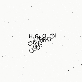 CCN(CCN(C)CC(C(=O)Nc1ccc2cnccc2c1)c1ccc(OC(=O)Cc2ccccc2)cc1)c1ccccc1